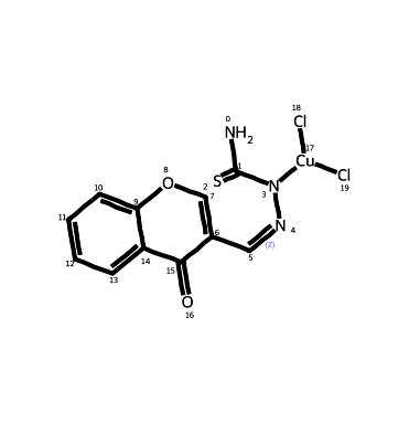 NC(=S)[N](/N=C\c1coc2ccccc2c1=O)[Cu]([Cl])[Cl]